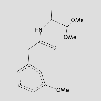 COc1cccc(CC(=O)NC(C)C(OC)OC)c1